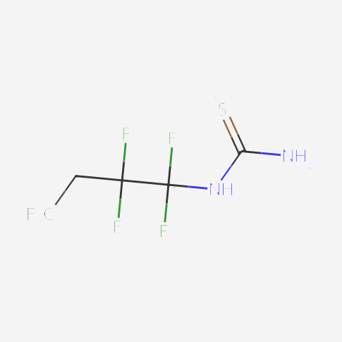 NC(=S)NC(F)(F)C(F)(F)CC(F)(F)F